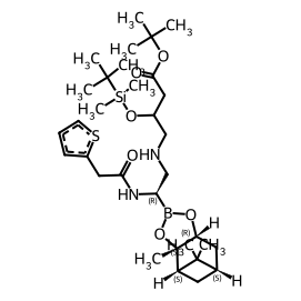 CC(C)(C)OC(=O)CC(CNC[C@H](NC(=O)Cc1cccs1)B1O[C@@H]2C[C@@H]3C[C@@H](C3(C)C)[C@]2(C)O1)O[Si](C)(C)C(C)(C)C